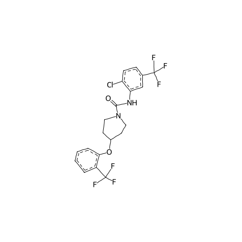 O=C(Nc1cc(C(F)(F)F)ccc1Cl)N1CCC(Oc2ccccc2C(F)(F)F)CC1